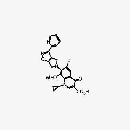 COc1c(N2CC3ON=C(c4ccccn4)C3C2)c(F)cc2c(=O)c(C(=O)O)cn(C3CC3)c12